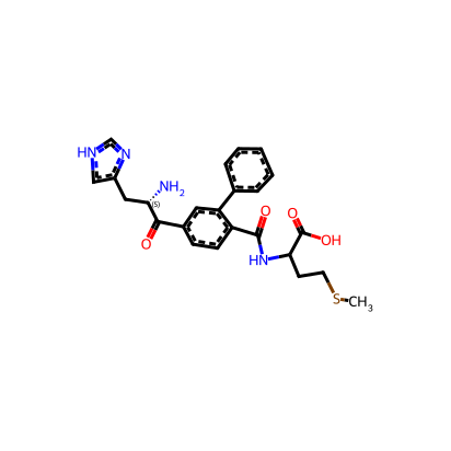 CSCCC(NC(=O)c1ccc(C(=O)[C@@H](N)Cc2c[nH]cn2)cc1-c1ccccc1)C(=O)O